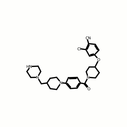 N#Cc1ccc(OC2CCN(C(=O)c3ccc(N4CCC(CN5CCNCC5)CC4)cc3)CC2)cc1Cl